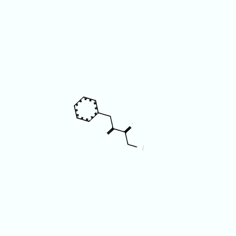 O=C(CCl)C(=O)Cc1ccccc1